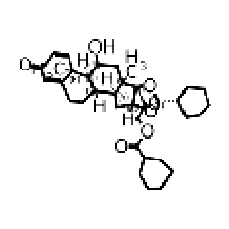 C[C@]12C=CC(=O)C=C1CC[C@@H]1[C@@H]2[C@@H](O)C[C@@]2(C)[C@H]1C[C@H]1O[C@@H](C3CCCCC3)O[C@]12C(=O)COC(=O)C1CCCCC1